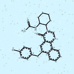 CC(=O)NC1CCCCC1n1cnc2c(cc(Cc3ccc(Cl)nc3)c3ccccc32)c1=O